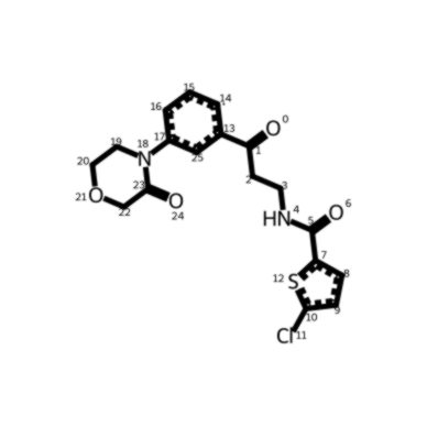 O=C(CCNC(=O)c1ccc(Cl)s1)c1[c]ccc(N2CCOCC2=O)c1